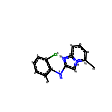 Cc1cccc(Cl)c1Nc1cn2c(C)cccc2n1